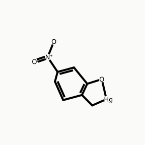 O=[N+]([O-])c1ccc2c(c1)[O][Hg][CH2]2